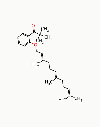 CC(C)=CCC/C(C)=C/CC/C(C)=C/COc1ccccc1C(=O)C(C)(C)C